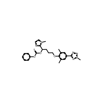 Cc1cc(-c2nnn(C)n2)cc(C)c1OCCCC(OC(=S)Oc1ccccc1)c1nccn1C